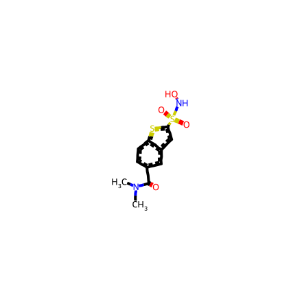 CN(C)C(=O)c1ccc2sc(S(=O)(=O)NO)cc2c1